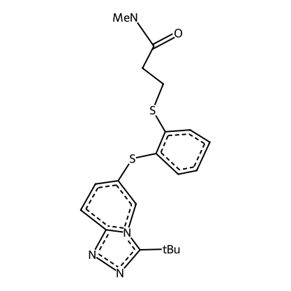 CNC(=O)CCSc1ccccc1Sc1ccc2nnc(C(C)(C)C)n2c1